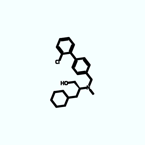 CN(Cc1ccc(-c2ccccc2Cl)cc1)[C@H](CO)CC1CCCCC1